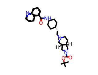 CC(C)(C)OC(=O)N1C[C@@H]2CCN(CC[C@H]3CC[C@H](NC(=O)c4cccc5ncccc45)CC3)C[C@H]2C1